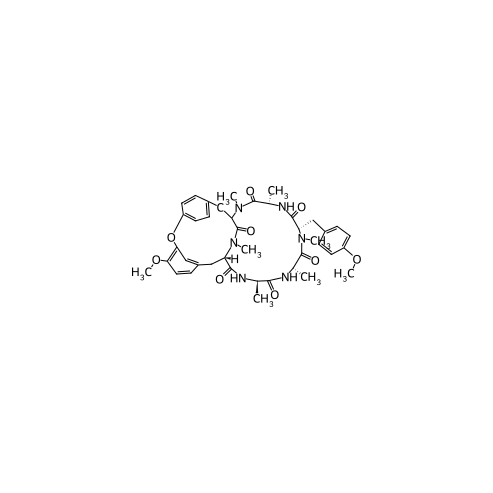 COc1ccc(C[C@H]2C(=O)N[C@@H](C)C(=O)N(C)C3Cc4ccc(cc4)Oc4cc(ccc4OC)C[C@@H](C(=O)N[C@H](C)C(=O)N[C@@H](C)C(=O)N2C)N(C)C3=O)cc1